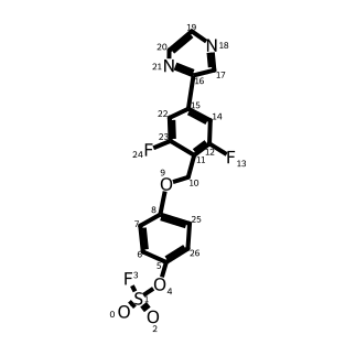 O=S(=O)(F)Oc1ccc(OCc2c(F)cc(-c3cnccn3)cc2F)cc1